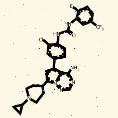 Nc1ncnn2c(C3CCN(C4CC4)CC3)cc(-c3ccc(NC(=O)Nc4cc(C(F)(F)F)ccc4F)c(Cl)c3)c12